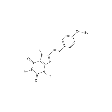 CCCCOc1ccc(C=Cc2nc3c(c(=O)n(CC)c(=O)n3CC)n2C)cc1